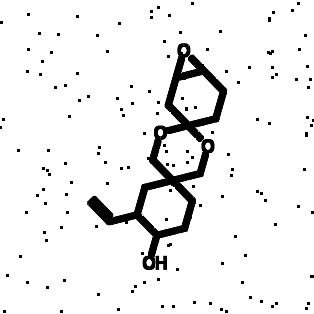 C=CC1CC2(CCC1O)COC1(CCC3OC3C1)OC2